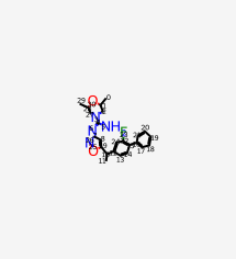 CC1CN(/C(N)=N/c2cc(C(C)c3ccc(-c4ccccc4)c(F)c3)on2)CC(C)O1